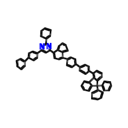 c1ccc(-c2ccc(-c3cc(-c4ccc(-c5ccc(-c6ccc(-c7cccc8c7-c7ccccc7C8(c7ccccc7)c7ccccc7)cc6)cc5)c5ccccc45)nc(-c4ccccc4)n3)cc2)cc1